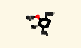 O=C([O-])c1ccc([N+](=O)[O-])cc1O[N+](=O)[O-].[Na+]